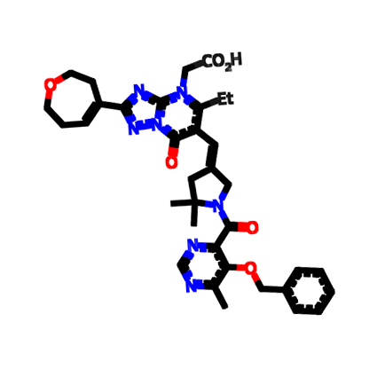 CCc1c(C=C2CN(C(=O)c3ncnc(C)c3OCc3ccccc3)C(C)(C)C2)c(=O)n2nc(C3=CCCOCC3)nc2n1CC(=O)O